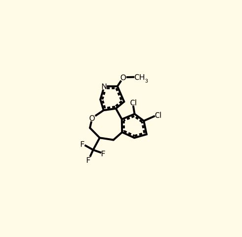 COc1cc2c(cn1)OCC(C(F)(F)F)Cc1ccc(Cl)c(Cl)c1-2